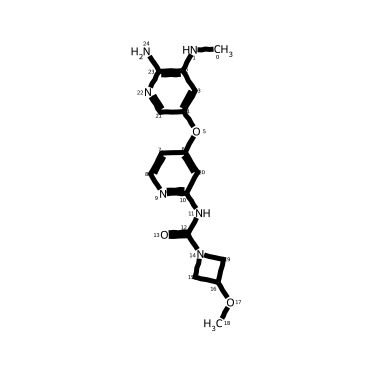 CNc1cc(Oc2ccnc(NC(=O)N3CC(OC)C3)c2)cnc1N